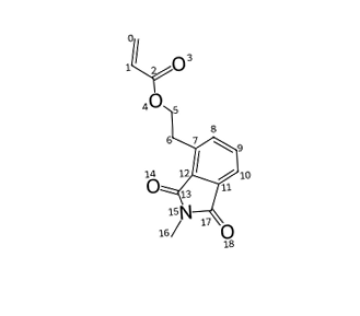 C=CC(=O)OCCc1cccc2c1C(=O)N(C)C2=O